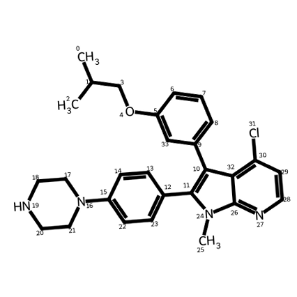 CC(C)COc1cccc(-c2c(-c3ccc(N4CCNCC4)cc3)n(C)c3nccc(Cl)c23)c1